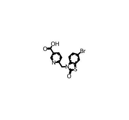 O=C(O)c1ccc(Cn2c(=O)sc3cc(Br)ccc32)nc1